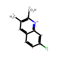 Cc1cc2ccc(Cl)cc2nc1C(=O)O